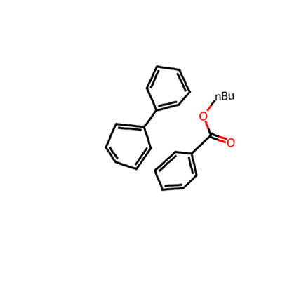 CCCCOC(=O)c1ccccc1.c1ccc(-c2ccccc2)cc1